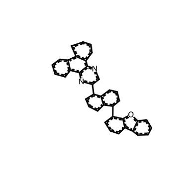 c1ccc2c(c1)oc1c(-c3cccc4c(-c5cnc6c7ccccc7c7ccccc7c6n5)cccc34)cccc12